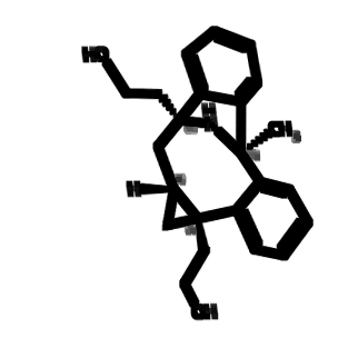 C[C@@]12N[C@@](CCO)(C[C@H]3C[C@@]3(CCO)c3ccccc31)c1ccccc12